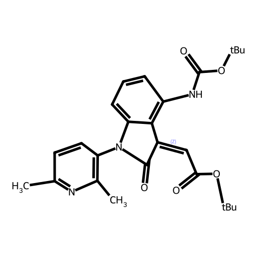 Cc1ccc(N2C(=O)/C(=C\C(=O)OC(C)(C)C)c3c(NC(=O)OC(C)(C)C)cccc32)c(C)n1